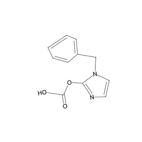 O=C(O)Oc1nccn1Cc1ccccc1